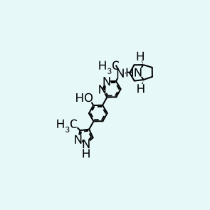 Cc1n[nH]cc1-c1ccc(-c2ccc(N(C)[C@@H]3C[C@H]4CC[C@@H](C3)N4)nn2)c(O)c1